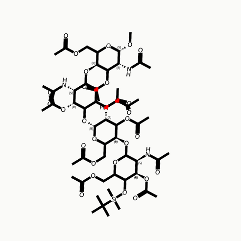 CO[C@H]1OC(COC(C)=O)[C@H](OC2OC(COC(C)=O)C(O[C@H]3OC(COC(C)=O)[C@H](OC4OC(COC(C)=O)C(O[Si](C)(C)C(C)(C)C)[C@H](OC(C)=O)[C@@H]4NC(C)=O)C(OC(C)=O)[C@H]3NC(C)=O)[C@H](OC(C)=O)[C@@H]2NC(C)=O)C(OC(C)=O)[C@H]1NC(C)=O